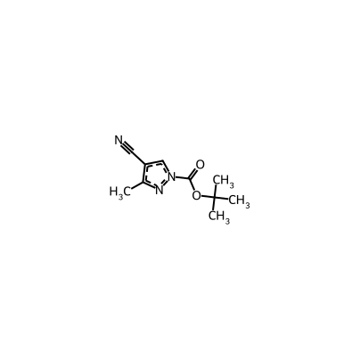 Cc1nn(C(=O)OC(C)(C)C)cc1C#N